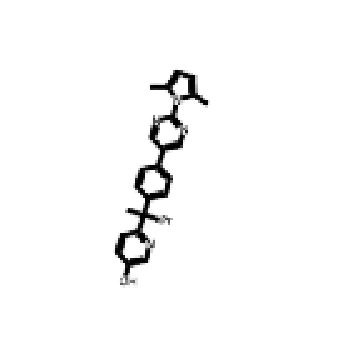 Cc1ccc(C)n1-c1ncc(-c2ccc(C(C)(c3ccc(O)cn3)C(C)C)cc2)cn1